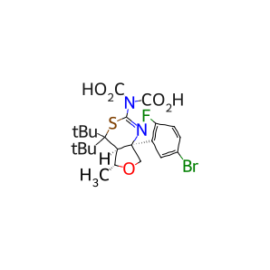 C[C@H]1OC[C@]2(c3cc(Br)ccc3F)N=C(N(C(=O)O)C(=O)O)SC(C(C)(C)C)(C(C)(C)C)[C@H]12